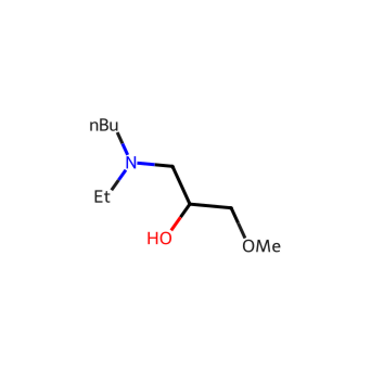 CCCCN(CC)CC(O)COC